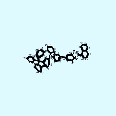 Cc1cc(-c2ccc3c(c2)c2ccccc2n3-c2ccc3c(c2)C(c2ccccc2)(c2ccccc2)c2ccccc2-3)ccc1OC(Br)c1cccc2ccccc12